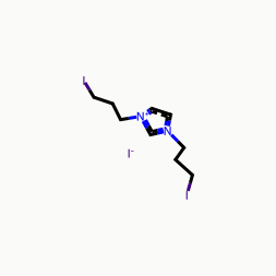 ICCCn1cc[n+](CCCI)c1.[I-]